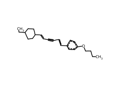 CCCCOc1ccc(C=CC#CC=CC2CCC(CC)CC2)cc1